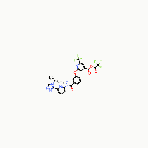 CC(C)n1cnnc1-c1cccc(NC(=O)c2cccc(Oc3cc(C(=O)OC(=O)C(F)(F)F)cc(C(F)(F)F)n3)c2)n1